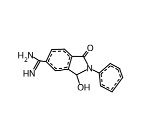 N=C(N)c1ccc2c(c1)C(O)N(c1ccccc1)C2=O